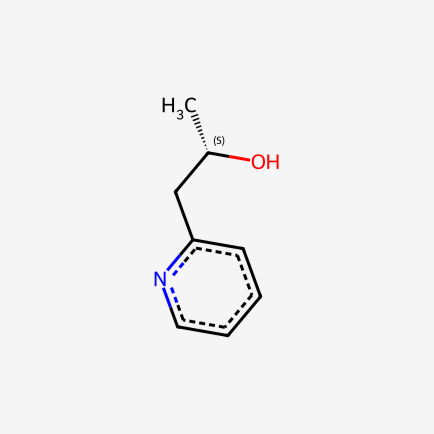 C[C@H](O)Cc1ccccn1